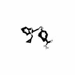 O=C(NO)c1ccc(Nc2nc3ccccc3n2CC2CC2)cc1